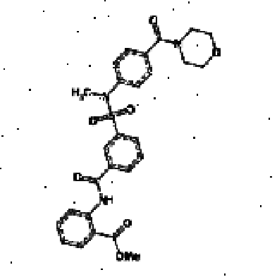 COC(=O)c1ccccc1NC(=O)c1cccc(S(=O)(=O)N(C)c2ccc(C(=O)N3CCOCC3)cc2)c1